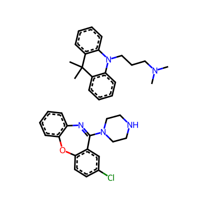 CN(C)CCCN1c2ccccc2C(C)(C)c2ccccc21.Clc1ccc2c(c1)C(N1CCNCC1)=Nc1ccccc1O2